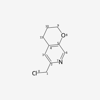 ClCc1cc2c(cn1)OCCC2